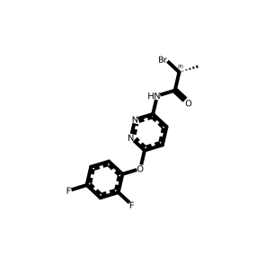 C[C@@H](Br)C(=O)Nc1ccc(Oc2ccc(F)cc2F)nn1